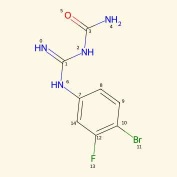 N=C(NC(N)=O)Nc1ccc(Br)c(F)c1